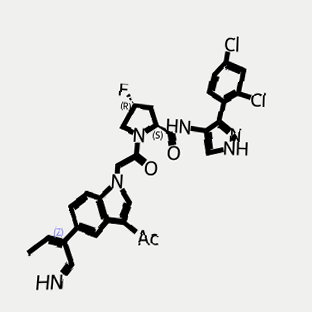 C/C=C(\C=N)c1ccc2c(c1)c(C(C)=O)cn2CC(=O)N1C[C@H](F)C[C@H]1C(=O)Nc1c[nH]nc1-c1ccc(Cl)cc1Cl